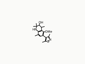 COc1c(-c2c(C)noc2C)cc(C)c2c1C(C)C(O)C(C)(C)N2